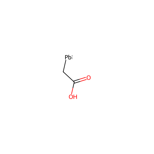 O=C(O)[CH2][Pb]